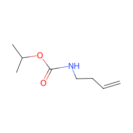 C=CCCNC(=O)OC(C)C